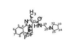 Cc1nc(-c2ccccc2C(F)(F)F)[nH]c1C(=O)NCCN1CCCC1